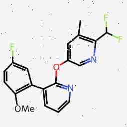 COc1ccc(F)cc1-c1cccnc1Oc1cnc(C(F)F)c(C)c1